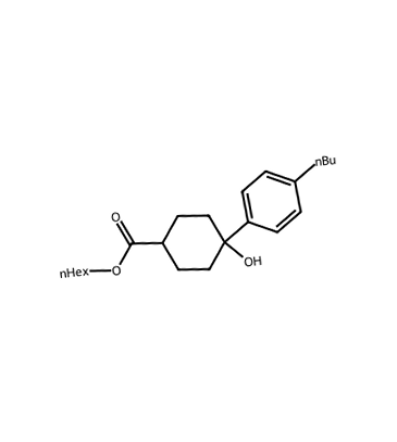 CCCCCCOC(=O)C1CCC(O)(c2ccc(CCCC)cc2)CC1